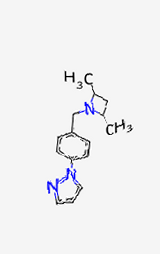 CC1CC(C)N1Cc1ccc(-n2cccn2)cc1